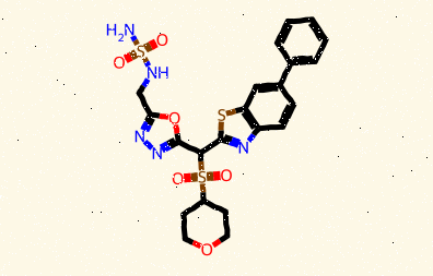 NS(=O)(=O)NCc1nnc(C(c2nc3ccc(-c4ccccc4)cc3s2)S(=O)(=O)C2CCOCC2)o1